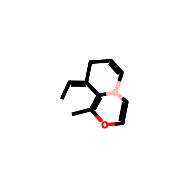 C/C=C1/CC=CB2C=COC(C)=C21